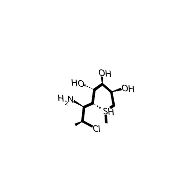 C[C@H](Cl)[C@@H](N)[C@@H]1[C@H](O)[C@@H](O)[C@@H](O)C[SH]1C